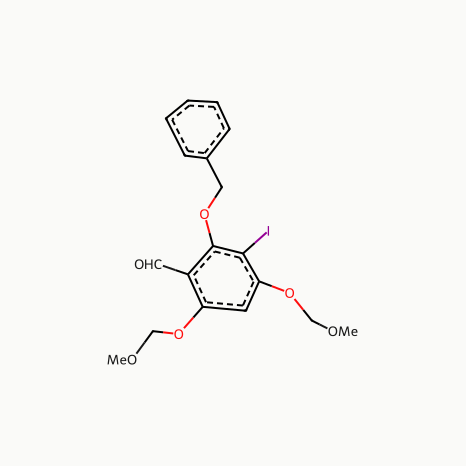 COCOc1cc(OCOC)c(C=O)c(OCc2ccccc2)c1I